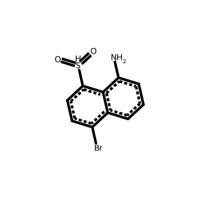 Nc1cccc2c(Br)ccc([SH](=O)=O)c12